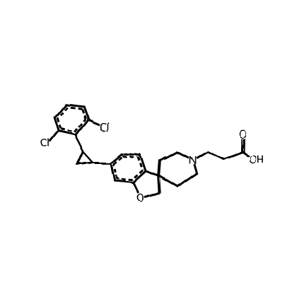 O=C(O)CCN1CCC2(CC1)COc1cc(C3CC3c3c(Cl)cccc3Cl)ccc12